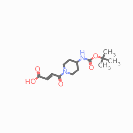 CC(C)(C)OC(=O)NC1CCN(C(=O)C=CC(=O)O)CC1